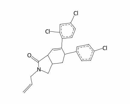 C=CCN1CC2CC(c3ccc(Cl)cc3)C(c3ccc(Cl)cc3Cl)=CC2C1=O